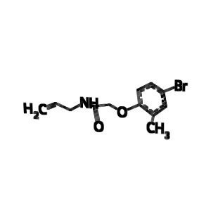 C=CCNC(=O)COc1ccc(Br)cc1C